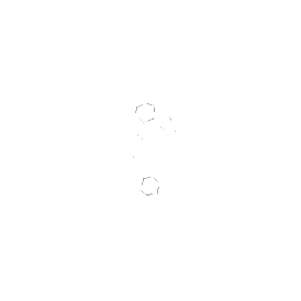 CCc1cccc(NS(C)(=O)=O)c1N1CCN(C2CCSc3ccccc32)CC1